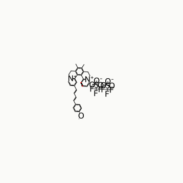 COc1ccc(/C=C/C=C/c2cc[n+]3c(c2)-c2c(c(C)c(C)c4c2-c2c5ccccc5cc[n+]2CC4)CC3)cc1.O=S(=O)([O-])C(F)(F)F.O=S(=O)([O-])C(F)(F)F